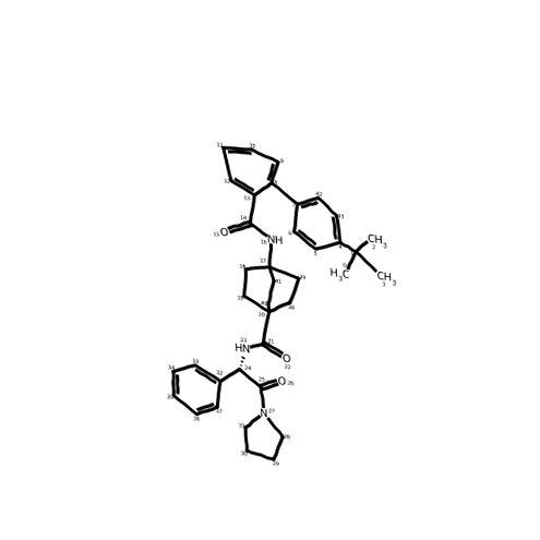 CC(C)(C)c1ccc(-c2ccccc2C(=O)NC23CCC(C(=O)N[C@H](C(=O)N4CCCC4)c4ccccc4)(CC2)CC3)cc1